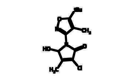 CC1=C(Cl)C(=O)N(c2noc(C(C)(C)C)c2C)C1O